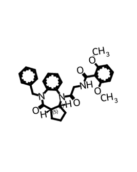 COc1cccc(OC)c1C(=O)NCC(=O)N1c2ccccc2N(Cc2ccccc2)C(=O)[C@H]2CCC[C@H]21